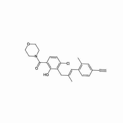 C#Cc1ccc(/C=C(\C)Cc2c(Cl)ccc(C(=O)N3CCOCC3)c2O)c(C)c1